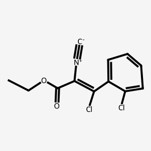 [C-]#[N+]C(C(=O)OCC)=C(Cl)c1ccccc1Cl